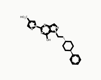 O=C(O)c1cnn(-c2nc(O)c3c(cnn3CC[C@H]3CC[C@H](c4ccccc4)CC3)n2)c1